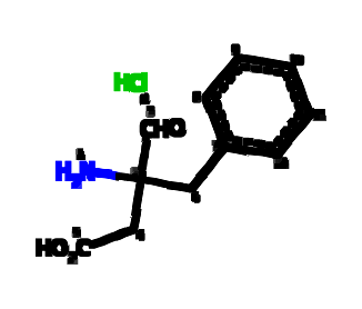 Cl.NC(C=O)(CC(=O)O)Cc1ccccc1